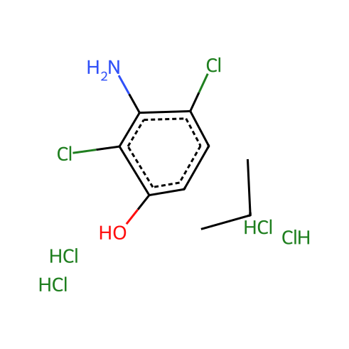 CCC.Cl.Cl.Cl.Cl.Nc1c(Cl)ccc(O)c1Cl